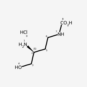 Cl.N[C@H](CO)CCNC(=O)O